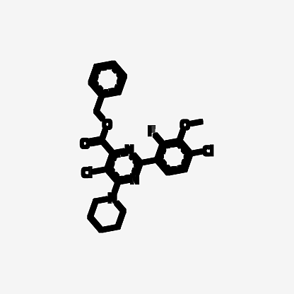 COc1c(Cl)ccc(-c2nc(C(=O)OCc3ccccc3)c(Cl)c(N3CCCCC3)n2)c1F